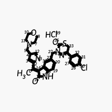 C/C(C1=CC(CN2CCOCC2)C=N1)=C1\C(=O)Nc2ccc(CN3N=C(c4ccc(Cl)cc4)CSC3=O)cc21.Cl